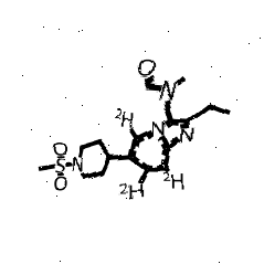 [2H]c1c(C2CCN(S(C)(=O)=O)CC2)c([2H])n2c(N(C)C=O)c(CC)nc2c1[2H]